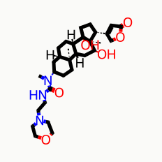 CN(C(=O)NCCN1CCOCC1)[C@H]1CC[C@@]2(C)[C@H](CC[C@@H]3[C@@H]2C[C@@H](O)[C@]2(C)[C@@H](C4=CC(=O)OC4)CC[C@]32O)C1